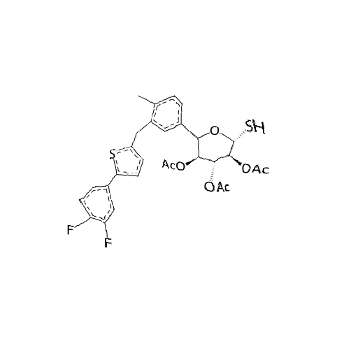 CC(=O)O[C@H]1[C@H](OC(C)=O)[C@@H](OC(C)=O)C(c2ccc(C)c(Cc3ccc(-c4ccc(F)c(F)c4)s3)c2)O[C@@H]1S